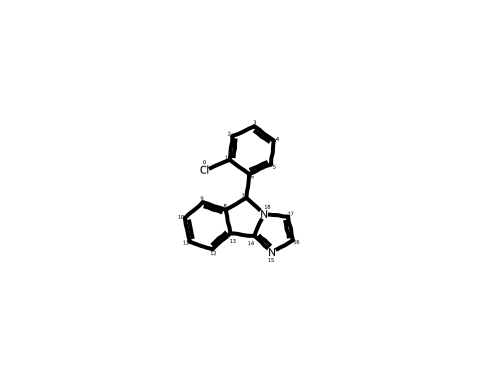 Clc1ccccc1C1c2ccccc2-c2nccn21